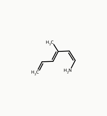 C=CC=C(C)/C=C\N